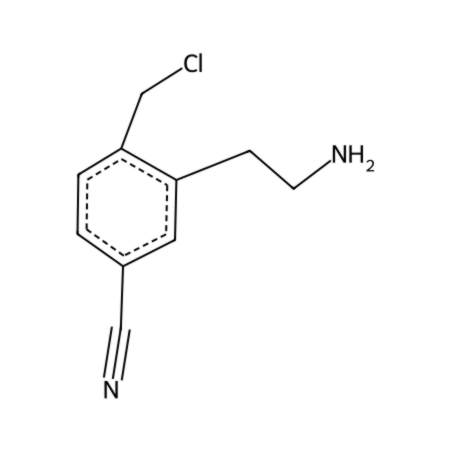 N#Cc1ccc(CCl)c(CCN)c1